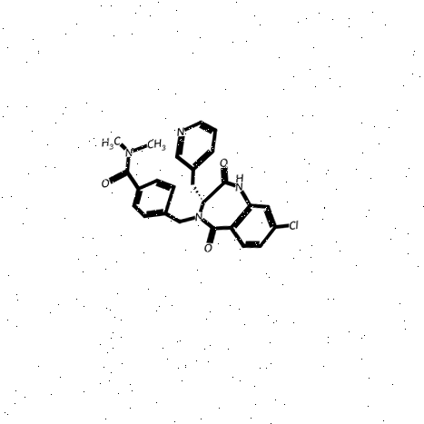 CN(C)C(=O)c1ccc(CN2C(=O)c3ccc(Cl)cc3NC(=O)[C@H]2Cc2cccnc2)cc1